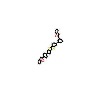 c1cc(-c2ccc3c(c2)sc2c4ccc(-c5ccc(-c6cc7ccccc7o6)cc5)cc4sc32)cc(-c2cc3ccccc3o2)c1